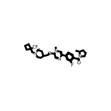 CC1CCCN1C(=O)c1ccc(C2=CN(C)C(OCC3CCN(CC4(C(F)(F)F)CCC4)CC3)C=N2)cc1F